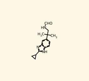 CC(C)(CNC=O)c1ccc2[nH]c(C3CC3)nc2c1